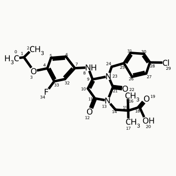 CC(C)Oc1ccc(Nc2cc(=O)n(CC(C)(C)C(=O)O)c(=O)n2Cc2ccc(Cl)cc2)cc1F